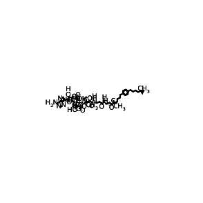 CC1(CCCCc2ccc(CCCCC(C)(C)C(=O)CCNC(=O)CCNC(=O)C(O)C(C)(C)COP(=O)(O)OP(=O)(O)OCC3OC(n4cnc5c(N)ncnc54)C(O)C3OP(=O)(O)O)cc2)CC1